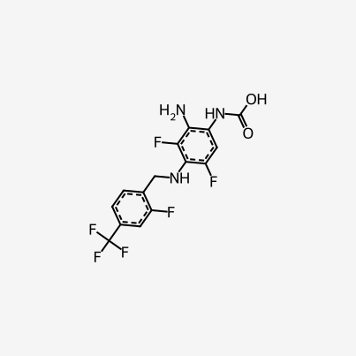 Nc1c(NC(=O)O)cc(F)c(NCc2ccc(C(F)(F)F)cc2F)c1F